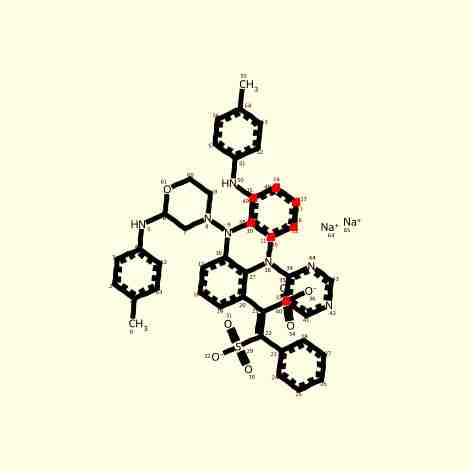 Cc1ccc(NC2CN(N(c3ncncn3)c3cccc(C(=C(c4ccccc4)S(=O)(=O)[O-])S(=O)(=O)[O-])c3N(c3ncncn3)N3CCOC(Nc4ccc(C)cc4)C3)CCO2)cc1.[Na+].[Na+]